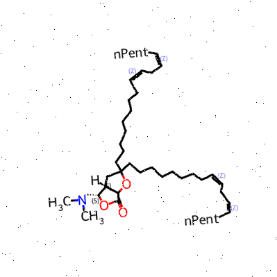 CCCCC/C=C\C/C=C\CCCCCCCCC1(CCCCCCCC/C=C\C/C=C\CCCCC)C[C@@H]2C(O1)C(=O)O[C@@H]2CN(C)C